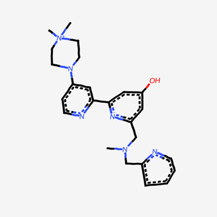 CN(Cc1ccccn1)Cc1cc(O)cc(-c2cc(N3CC[N+](C)(C)CC3)ccn2)n1